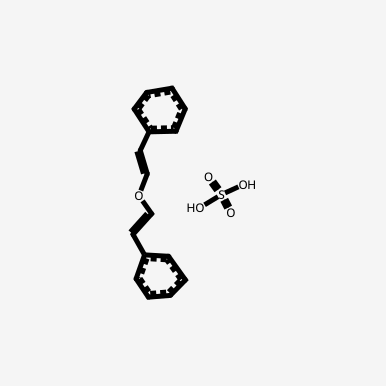 C(=Cc1ccccc1)OC=Cc1ccccc1.O=S(=O)(O)O